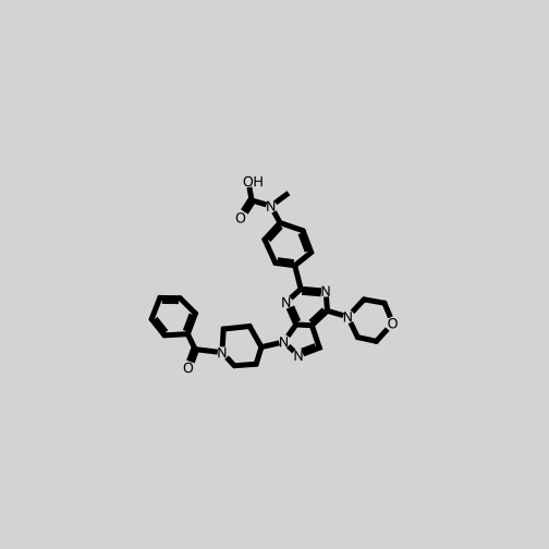 CN(C(=O)O)c1ccc(-c2nc(N3CCOCC3)c3cnn(C4CCN(C(=O)c5ccccc5)CC4)c3n2)cc1